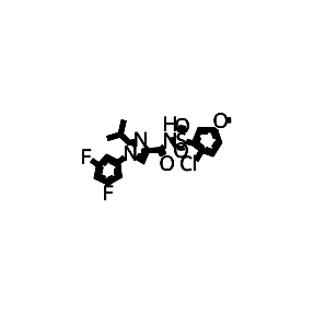 COc1ccc(Cl)c(S(=O)(=O)NC(=O)c2cn(-c3cc(F)cc(F)c3)c(C(C)C)n2)c1